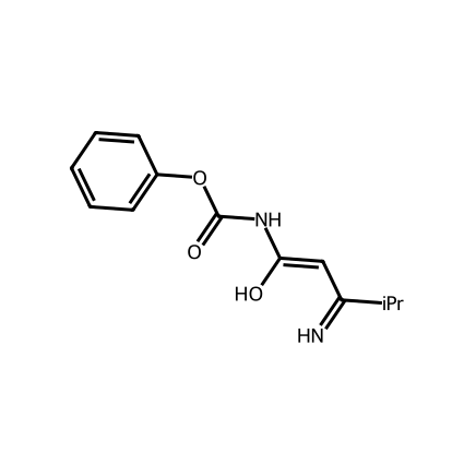 CC(C)C(=N)/C=C(\O)NC(=O)Oc1ccccc1